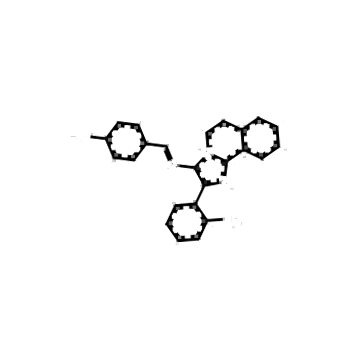 Cc1ccc(C=Nc2c(-c3ccccc3C)nc3c4ccccc4ccn23)cc1